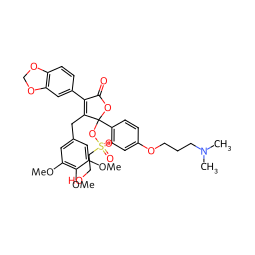 COc1cc(CC2=C(c3ccc4c(c3)OCO4)C(=O)OC2(OS(=O)(=O)CCO)c2ccc(OCCCN(C)C)cc2)cc(OC)c1OC